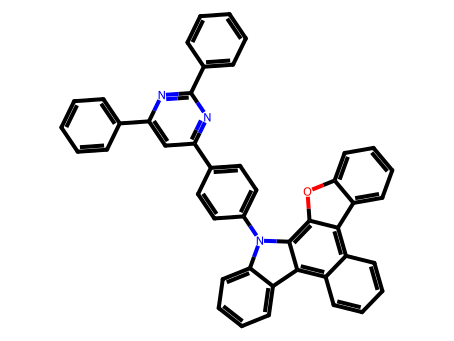 c1ccc(-c2cc(-c3ccc(-n4c5ccccc5c5c6ccccc6c6c7ccccc7oc6c54)cc3)nc(-c3ccccc3)n2)cc1